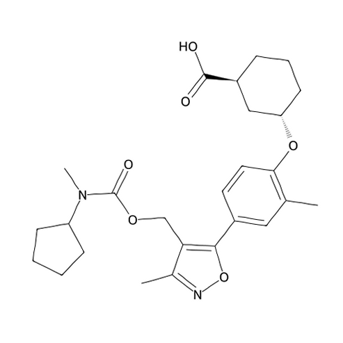 Cc1cc(-c2onc(C)c2COC(=O)N(C)C2CCCC2)ccc1O[C@H]1CCC[C@H](C(=O)O)C1